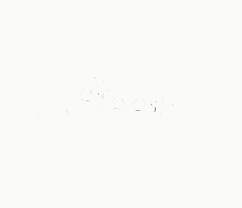 [2H]C(c1ccc(-c2ccc(N(C)C)cc2)cc1)N(C(=O)C1CC2CCC1C2)c1cccc(OCC(=O)OC)c1